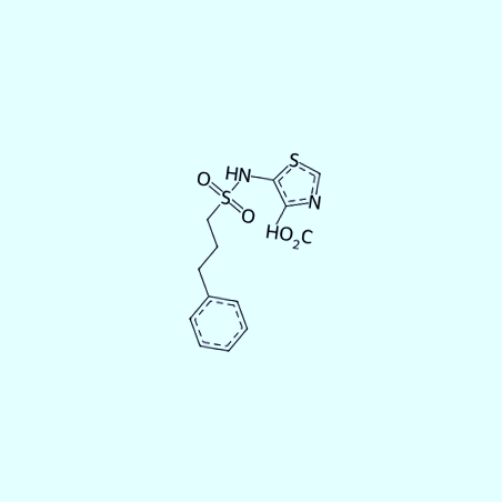 O=C(O)c1ncsc1NS(=O)(=O)CCCc1ccccc1